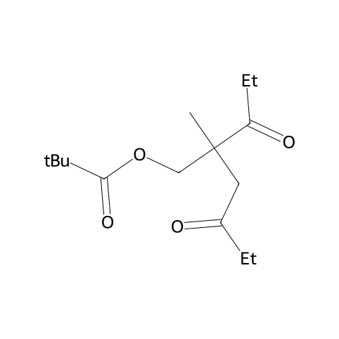 CCC(=O)CC(C)(COC(=O)C(C)(C)C)C(=O)CC